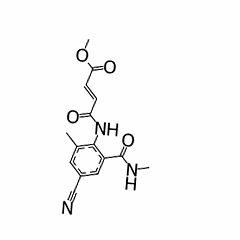 CNC(=O)c1cc(C#N)cc(C)c1NC(=O)C=CC(=O)OC